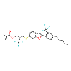 C=C(C)C(=O)OCC(CSc1ccc2cc(-c3ccc(CCCCC)cc3C(F)(F)F)oc2c1)C(F)(F)F